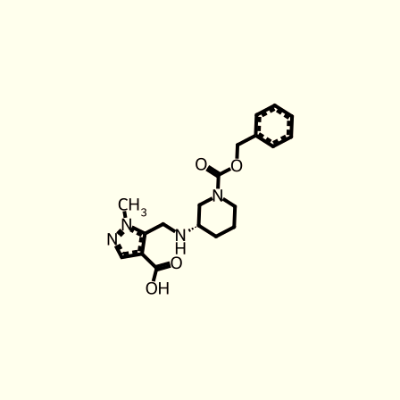 Cn1ncc(C(=O)O)c1CN[C@H]1CCCN(C(=O)OCc2ccccc2)C1